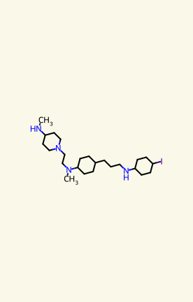 CNC1CCN(CCN(C)C2CCC(CCCNC3CCC(I)CC3)CC2)CC1